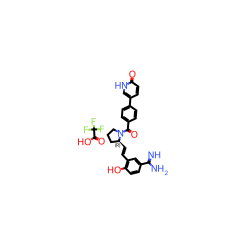 N=C(N)c1ccc(O)c(C=C[C@H]2CCCN2C(=O)c2ccc(-c3ccc(=O)[nH]c3)cc2)c1.O=C(O)C(F)(F)F